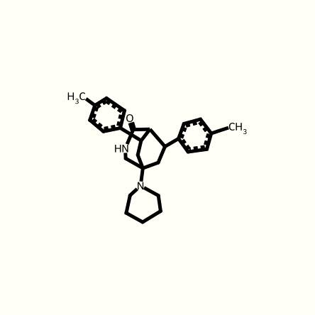 Cc1ccc(C2CC3(N4CCCCC4)CNC(=O)C2C(c2ccc(C)cc2)C3)cc1